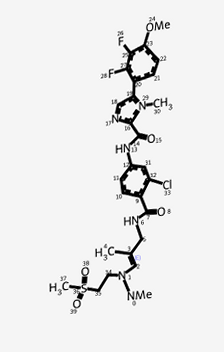 CNN(/C=C(\C)CNC(=O)c1ccc(NC(=O)c2ncc(-c3ccc(OC)c(F)c3F)n2C)cc1Cl)CCS(C)(=O)=O